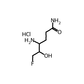 Cl.NC(=O)CCC(N)C(O)CF